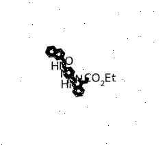 CCOC(=O)CC(=N)c1ccccc1NCc1ccc(NC(=O)c2ccc3ccccc3c2)nc1